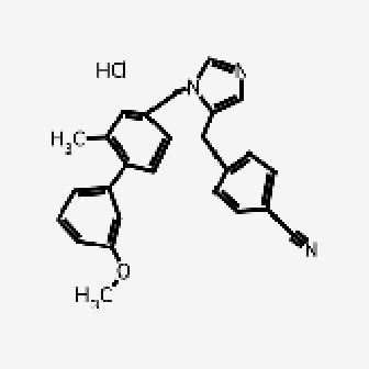 COc1cccc(-c2ccc(Cn3cncc3Cc3ccc(C#N)cc3)cc2C)c1.Cl